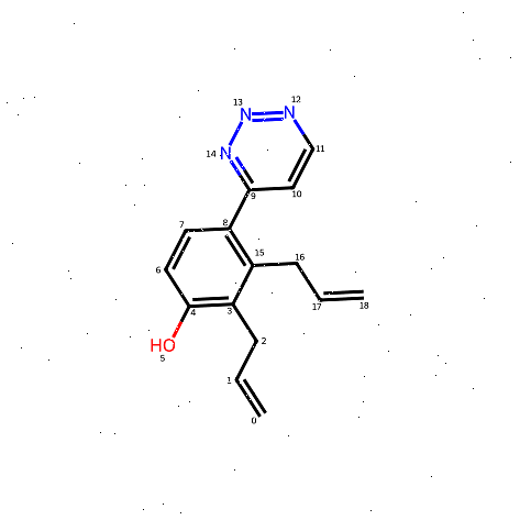 C=CCc1c(O)ccc(-c2ccnnn2)c1CC=C